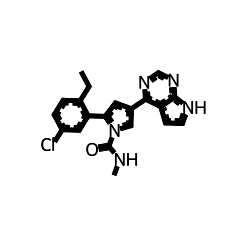 CCc1ccc(Cl)cc1-c1cc(-c2ncnc3[nH]ccc23)cn1C(=O)NC